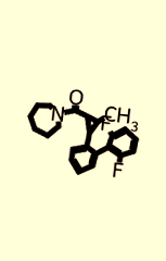 CC1C(C(=O)N2CCCCCC2)C1c1ccccc1-c1c(F)cccc1F